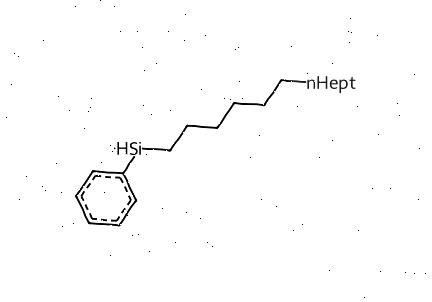 CCCCCCCCCCCCC[SiH]c1ccccc1